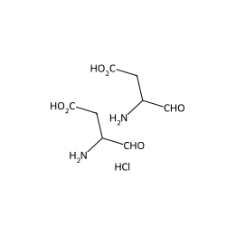 Cl.NC(C=O)CC(=O)O.NC(C=O)CC(=O)O